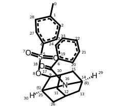 Cc1ccc(S(=O)(=O)OC2C3CC4C[C@H](C3)N(C(=O)c3ccccc3)[C@H]2C4)cc1